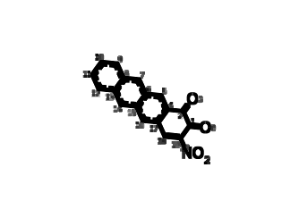 O=C1C(=O)c2cc3cc4ccccc4cc3cc2C=C1[N+](=O)[O-]